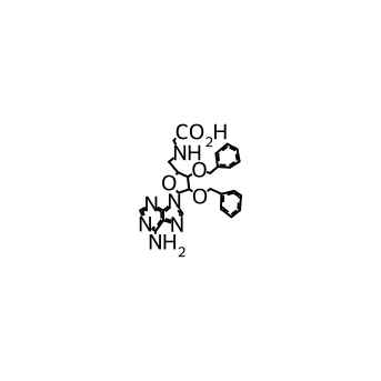 Nc1ncnc2c1ncn2C1OC(CNCC(=O)O)C(OCc2ccccc2)C1OCc1ccccc1